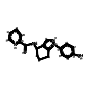 O=C(NC1CCCc2c1cnn2-c1ccc(O)cc1)c1ccccn1